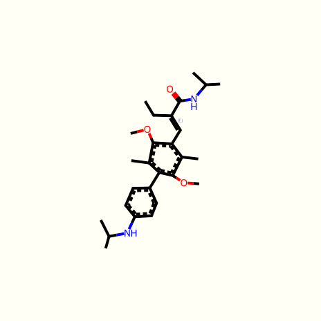 CC/C(=C\c1c(C)c(OC)c(-c2ccc(NC(C)C)cc2)c(C)c1OC)C(=O)NC(C)C